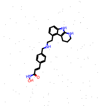 O=C(/C=C/c1ccc(CNCCc2cccc3[nH]c4c(c23)CCCN4)cc1)NO